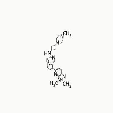 Cc1nc2ccc(-c3ccn4nc(NC5CC(N6CCN(C)CC6)C5)ncc34)nc2n1C